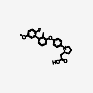 COc1ccc(F)c(-c2cccc(Oc3ccc(N4CCCC4CC(=O)O)cc3)c2C)c1